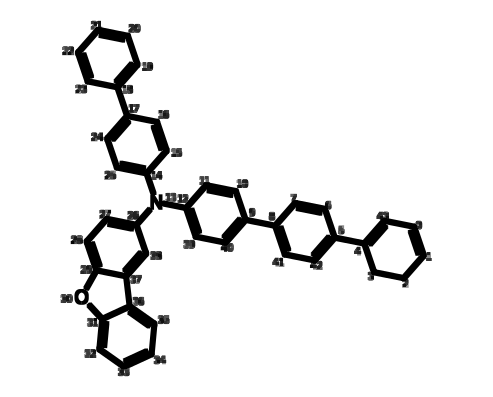 C1=CCCC(c2ccc(-c3ccc(N(c4ccc(-c5ccccc5)cc4)c4ccc5oc6ccccc6c5c4)cc3)cc2)=C1